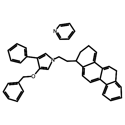 C1=c2c(ccc3c2=CCCC3CCn2cc(OCc3ccccc3)c(-c3ccccc3)c2)-c2ccccc2C1.c1ccncc1